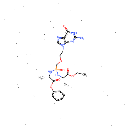 CCOC(=O)[C@H](C)NP(=O)(COCCn1cnc2c(=O)[nH]c(N)nc21)N[C@@H](C)C(=O)Oc1ccccc1